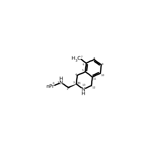 CCCNC[C@H]1Cc2c(C)cccc2CN1